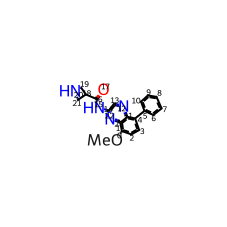 COc1ccc(-c2ccccc2)c2ncc(NC(=O)C3CNC3)nc12